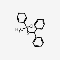 CS(C)(SC(c1ccccc1)c1ccccc1)c1ccccc1